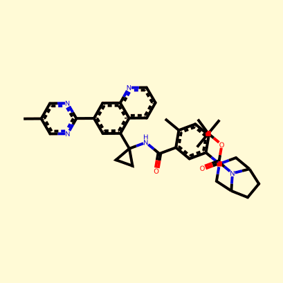 Cc1cnc(-c2cc(C3(NC(=O)c4cc(N5CC6CCC(C5)N6C(=O)OC(C)(C)C)ccc4C)CC3)c3cccnc3c2)nc1